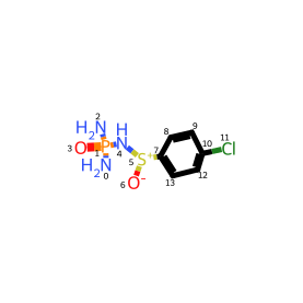 NP(N)(=O)N[S+]([O-])c1ccc(Cl)cc1